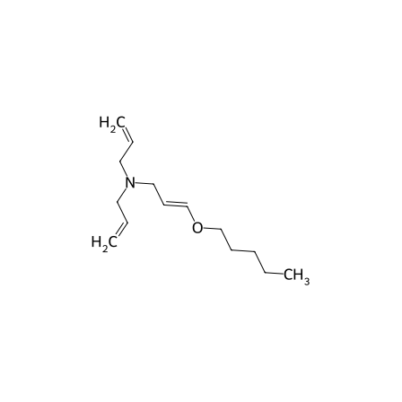 C=CCN(CC=C)CC=COCCCCC